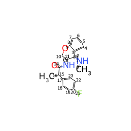 CN[C@@H]1c2ccccc2OC[C@H]1NC(=O)C(C)c1ccc(F)cc1